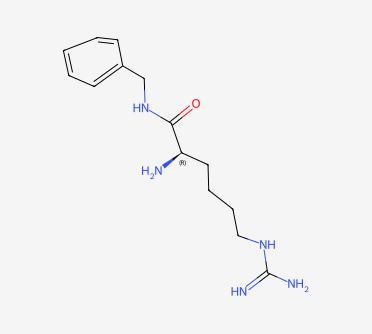 N=C(N)NCCCC[C@@H](N)C(=O)NCc1ccccc1